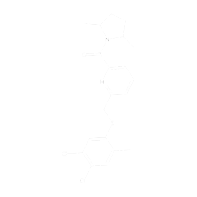 Cc1cc(Cl)c(Cl)cc1SCc1cccc(C(=O)N2C(C)CCC2C)n1